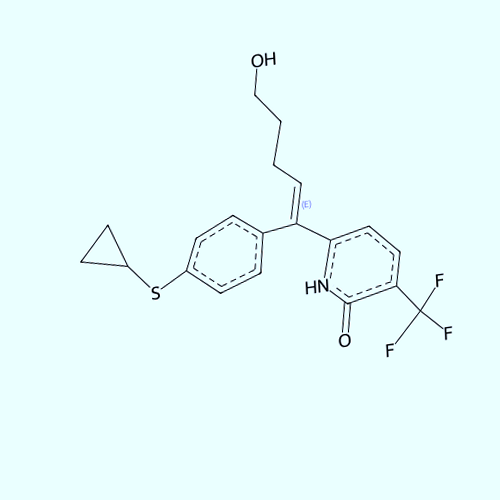 O=c1[nH]c(/C(=C/CCCO)c2ccc(SC3CC3)cc2)ccc1C(F)(F)F